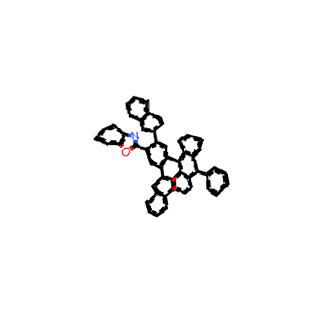 c1ccc(-c2c3ccccc3c(-c3cc(-c4ccc5ccccc5c4)c(-c4nc5ccccc5o4)cc3-c3ccc4ccccc4c3)c3ccccc23)cc1